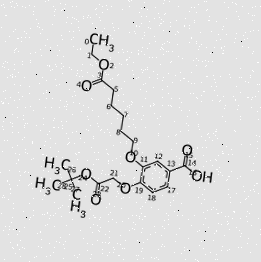 CCOC(=O)CCCCCOc1cc(C(=O)O)ccc1OCC(=O)OC(C)(C)C